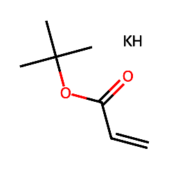 C=CC(=O)OC(C)(C)C.[KH]